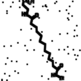 CCNC(=O)CCCCCCCCCCCC(=O)NCCC(=O)O